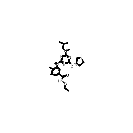 CCONC(=O)c1ccc(C)c(Nc2nc(N[C@H]3CCNC3)nc(N(C)CC(C)C)n2)c1